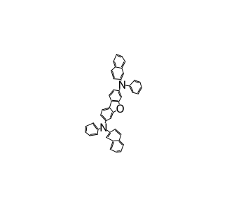 c1ccc(N(c2ccc3ccccc3c2)c2ccc3c(c2)oc2cc(N(c4ccccc4)c4ccc5ccccc5c4)ccc23)cc1